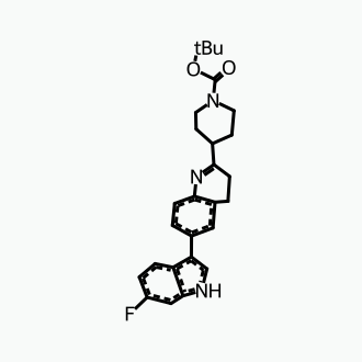 CC(C)(C)OC(=O)N1CCC(C2=Nc3ccc(-c4c[nH]c5cc(F)ccc45)cc3CC2)CC1